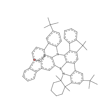 CC(C)(C)c1ccc(N2c3cc4oc5ccccc5c4cc3B3c4c(cc5c(c42)-c2ccccc2C5(C)C)-c2cc(C(C)(C)C)cc4c2N3C2(C)CCCCC42C)c(-c2ccccc2)c1